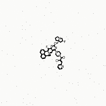 C#Cc1cccc2cccc(-c3ncc4c(N5CCN(C(=O)/C(Cl)=C/c6ccccn6)CC5)nc(OC[C@@]56CCCN5C[C@H](F)C6)nc4c3F)c12